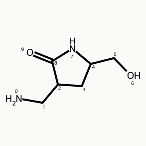 NCC1CC(CO)NC1=O